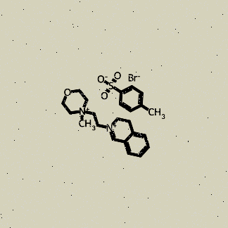 C[N+]1(CC[N+]2=Cc3ccccc3CC2)CCOCC1.Cc1ccc(S(=O)(=O)[O-])cc1.[Br-]